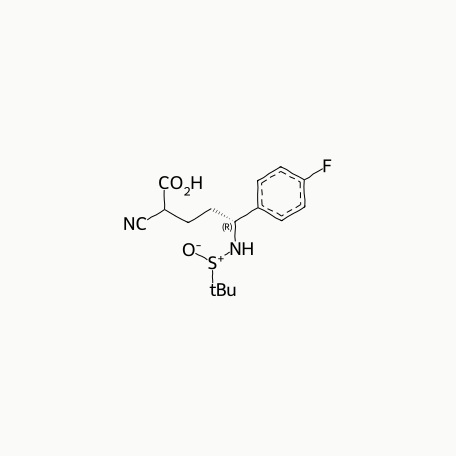 CC(C)(C)[S+]([O-])N[C@H](CCC(C#N)C(=O)O)c1ccc(F)cc1